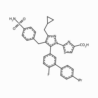 CC(C)c1ccc(-c2cc(-c3c(Cc4ccc(S(N)(=O)=O)cc4)c(CC4CC4)nn3-c3nc(C(=O)O)cs3)ccc2F)cc1